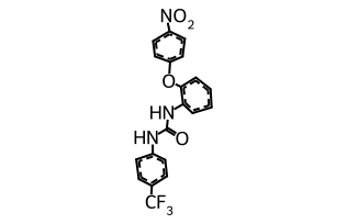 O=C(Nc1ccc(C(F)(F)F)cc1)Nc1ccccc1Oc1ccc([N+](=O)[O-])cc1